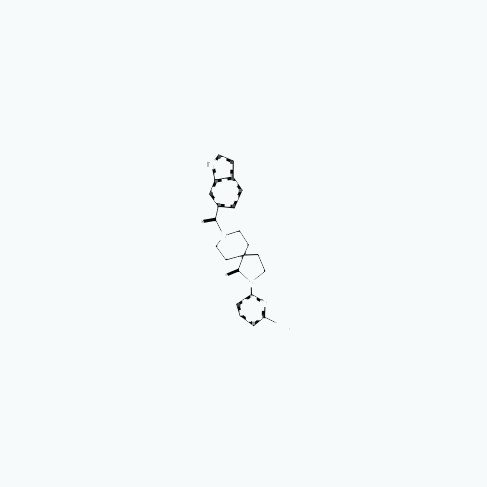 O=C(c1ccc2cc[nH]c2c1)N1CCC2(CC1)CCN(c1cccc(C(F)(F)F)n1)C2=O